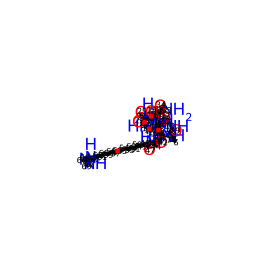 C=C1NC(CC(C)C)C(=O)NCC(=O)NC2(CS/C=C\NC(=O)C(CO)NC(=O)C(CCC(N)=O)NC2=O)CC1NC(=O)C(C)NC(=O)CCCCCCCCCCCCCCCCN/C(=N/C)NC